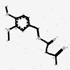 COc1ccc(COC(=O)CC(C)=O)cc1OC